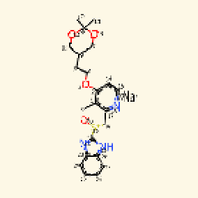 Cc1c(OCCC2COC(C)(C)OC2)ccnc1C[S+]([O-])c1nc2ccccc2[nH]1.[Na]